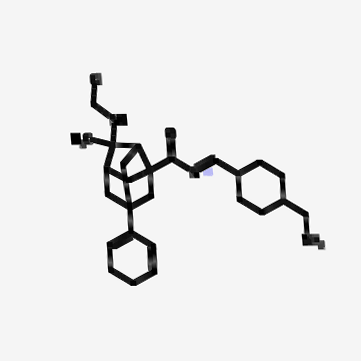 CC1(NCCl)C2CC3(C4=CCCC=C4)CC1C(C(=O)/N=C/C1CCC(CN)CC1)(C2)C3